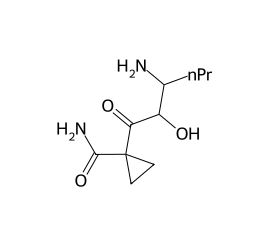 CCCC(N)C(O)C(=O)C1(C(N)=O)CC1